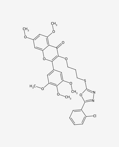 COc1cc(OC)c2c(=O)c(OCCCSc3nnc(-c4ccccc4Cl)o3)c(-c3cc(OC)c(OC)c(OC)c3)oc2c1